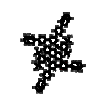 CC(C)(C)c1cc(N(c2cc(-c3ccc(C45CC6CC(CC(C6)C4)C5)cc3)cc(-c3ccc(C45CC6CC(CC(C6)C4)C5)cc3)c2)c2c3ccccc3c(N(c3cc(-c4ccc(C56CC7CC(CC(C7)C5)C6)cc4)cc(-c4ccc(C56CC7CC(CC(C7)C5)C6)cc4)c3)c3cc(C(C)(C)C)cc(C(C)(C)C)c3)c3cc(-c4ccccc4)ccc23)cc(C(C)(C)C)c1